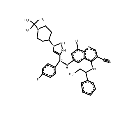 CCC(Nc1c(C#N)cnc2c(Cl)cc(N[C@H](C3=CN(C4CCN(C(C)(C)C)CC4)NN3)c3ccc(F)cc3)cc12)c1ccccc1